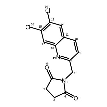 O=C1CCC(=O)N1Cc1ccc2cc(Cl)c(Cl)cc2n1